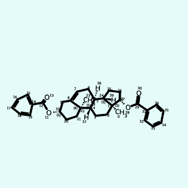 C[C@]12CC[C@H]3[C@@H](CC=C4C[C@@H](OC(=O)c5ccccc5)CC[C@@]43C)[C@@H]1CC[C@@H]2OC(=O)c1ccccc1